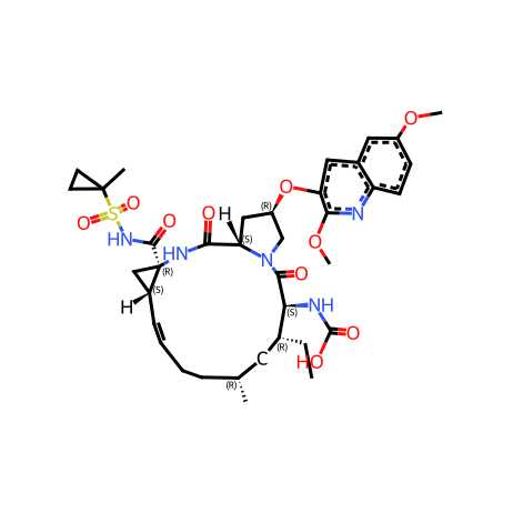 CC[C@@H]1C[C@H](C)CCC=C[C@@H]2C[C@@]2(C(=O)NS(=O)(=O)C2(C)CC2)NC(=O)[C@@H]2C[C@@H](Oc3cc4cc(OC)ccc4nc3OC)CN2C(=O)[C@H]1NC(=O)O